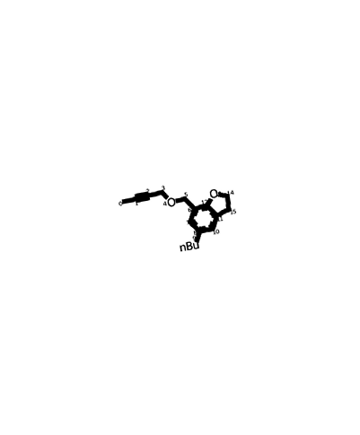 CC#CCOCc1cc(CCCC)cc2c1OCC2